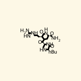 CCCC[C@H]1NC[C@@H](C(=O)C2C[C@@H](C(N)=O)NC(=O)[C@@H]2CCCNC(=N)N)NC1=O